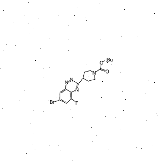 CC(C)(C)OC(=O)N1CCC(c2nnc3cc(Br)cc(F)c3n2)CC1